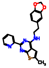 Cc1cc2c(NCCc3ccc4c(c3)OCO4)nc(-c3ccccn3)nc2s1